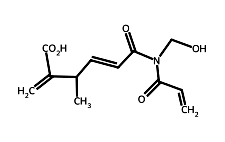 C=CC(=O)N(CO)C(=O)C=CC(C)C(=C)C(=O)O